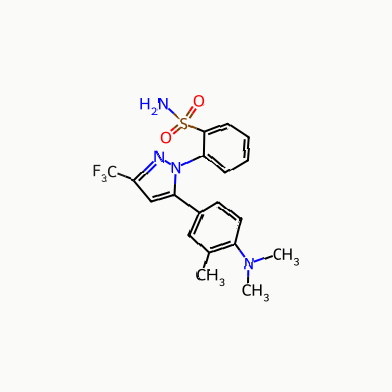 Cc1cc(-c2cc(C(F)(F)F)nn2-c2ccccc2S(N)(=O)=O)ccc1N(C)C